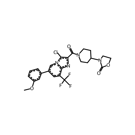 COc1cccc(-c2cc(C(F)(F)F)c3nc(C(=O)N4CCC(N5CCOC5=O)CC4)c(Cl)n3c2)c1